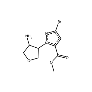 COC(=O)c1cc(Br)nn1C1COCC1N